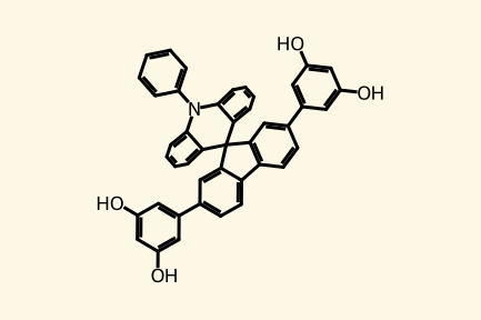 Oc1cc(O)cc(-c2ccc3c(c2)C2(c4cc(-c5cc(O)cc(O)c5)ccc4-3)c3ccccc3N(c3ccccc3)c3ccccc32)c1